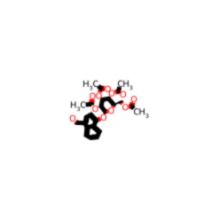 CC(=O)OC[C@H]1O[C@@H](Oc2ccc(C=O)c3ccccc23)[C@H](OC(C)=O)[C@@H](OC(C)=O)[C@H]1OC(C)=O